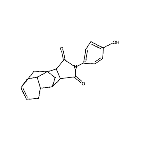 O=C1C2C3CC4(CC5=CCC3C4C5)C2C(=O)N1c1ccc(O)cc1